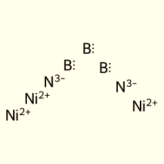 [B].[B].[B].[N-3].[N-3].[Ni+2].[Ni+2].[Ni+2]